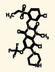 CCS(=O)(=O)c1ccc(Cl)cc1Cn1c(=O)c2cc(OC(F)(F)F)c(N3CCNCC3)c(Cl)c2n(C)c1=O